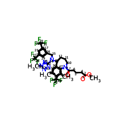 COC(=O)CCCC(=O)N1CCC[C@H](N(Cc2cc(C(F)(F)F)cc(C(F)(F)F)c2)c2nnn(C)n2)c2cc(C)c(C(F)(F)F)c(C)c21